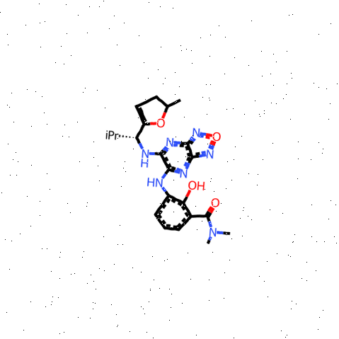 CC1CC=C([C@H](Nc2nc3nonc3nc2Nc2cccc(C(=O)N(C)C)c2O)C(C)C)O1